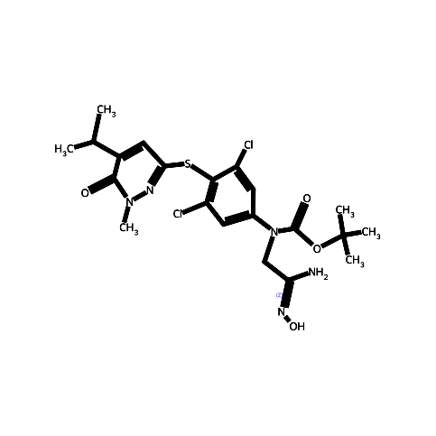 CC(C)c1cc(Sc2c(Cl)cc(N(C/C(N)=N/O)C(=O)OC(C)(C)C)cc2Cl)nn(C)c1=O